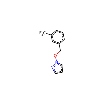 FC(F)(F)c1cccc(COn2cccn2)c1